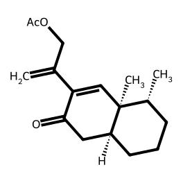 C=C(COC(C)=O)C1=C[C@]2(C)[C@@H](CCC[C@H]2C)CC1=O